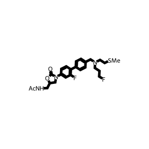 CSCCN(CCCF)Cc1ccc(-c2ccc(N3CC(CNC(C)=O)OC3=O)cc2F)cc1